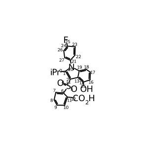 CC(C)c1c(S(=O)(=O)c2ccccc2C(=O)O)c2c(O)cccc2n1-c1ccc(F)cc1